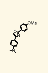 COc1ccc(-c2nc(-c3ccc(N(C)C)cc3)co2)cc1